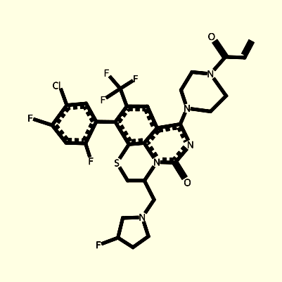 C=CC(=O)N1CCN(c2nc(=O)n3c4c(c(-c5cc(Cl)c(F)cc5F)c(C(F)(F)F)cc24)SCC3CN2CCC(F)C2)CC1